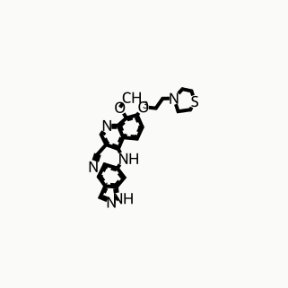 COc1c(OCCN2CCSCC2)ccc2c(Nc3ccc4cn[nH]c4c3)c(C#N)cnc12